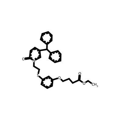 CCOC(=O)CCCOc1cccc(SCCn2cc(C(c3ccccc3)c3ccccc3)ccc2=O)c1